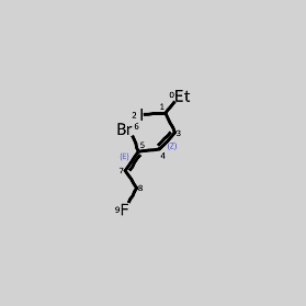 CCC(I)/C=C\C(Br)=C/CF